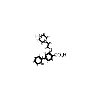 O=C(O)c1ccc(C2=CC=CCC2)cc1OCCN1CCNCC1